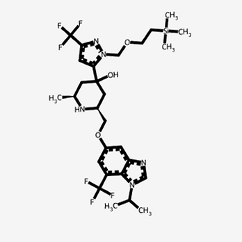 CC(C)n1cnc2cc(OC[C@@H]3CC(O)(c4cc(C(F)(F)F)nn4COCC[Si](C)(C)C)C[C@H](C)N3)cc(C(F)(F)F)c21